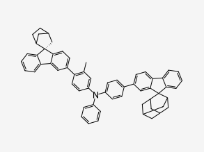 Cc1cc(N(c2ccccc2)c2ccc(-c3ccc4c(c3)C3(c5ccccc5-4)C4CC5CC(C4)CC3C5)cc2)ccc1-c1ccc2c(c1)-c1ccccc1[C@]21CC2CCC1C2